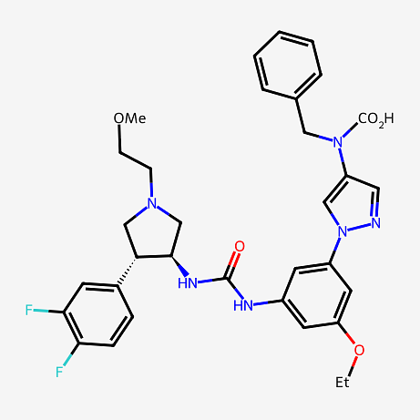 CCOc1cc(NC(=O)N[C@@H]2CN(CCOC)C[C@H]2c2ccc(F)c(F)c2)cc(-n2cc(N(Cc3ccccc3)C(=O)O)cn2)c1